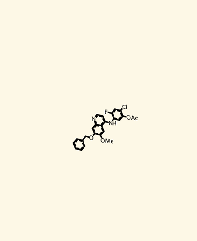 COc1cc2c(Nc3cc(OC(C)=O)c(Cl)cc3F)ccnc2cc1OCc1ccccc1